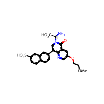 COCCOc1cnc2c(-c3ccc4ccc(S(=O)(=O)O)cc4c3)cn([C@H](N)C(=O)O)c(=O)c2c1